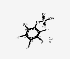 O=S(=O)(O)Oc1c(F)c(F)c(F)c(F)c1F.[Cu]